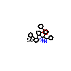 c1ccc(-c2ccccc2-c2cccc(-c3cccc4[se]c5ccccc5c34)c2-c2nnnc(-c3ccccc3)c2-c2ccccc2)cc1